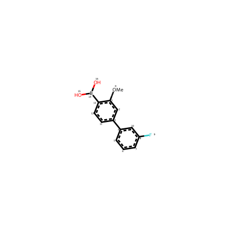 COc1cc(-c2cccc(F)c2)ccc1B(O)O